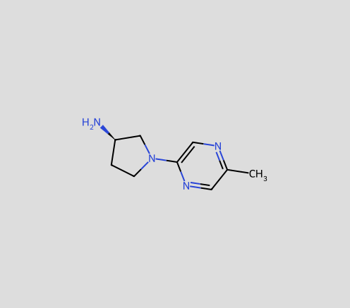 Cc1cnc(N2CC[C@@H](N)C2)cn1